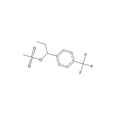 CCC(OS(C)(=O)=O)c1ccc(C(F)(F)F)cc1